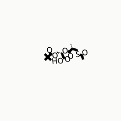 CC(=O)SC[C@@H](C)C(=O)O[C@@H](COC(=O)C(C)(C)C)C(=O)O